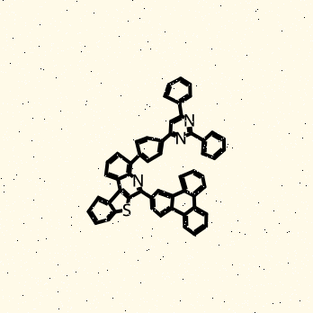 c1ccc(-c2cc(-c3ccc(-c4cccc5c4nc(-c4ccc6c7ccccc7c7ccccc7c6c4)c4sc6ccccc6c45)cc3)nc(-c3ccccc3)n2)cc1